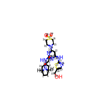 N#CCCN1[C@@H]2CC[C@H]1C[C@H](Nc1nc(Nc3ncc(CO)s3)cc(N3CCS(=O)(=O)CC3)n1)C2